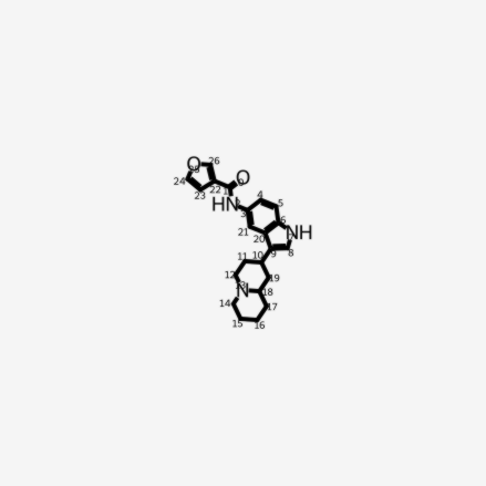 O=C(Nc1ccc2[nH]cc(C3CCN4CCCCC4C3)c2c1)c1ccoc1